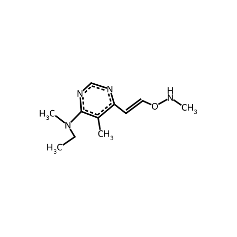 CCN(C)c1ncnc(/C=C/ONC)c1C